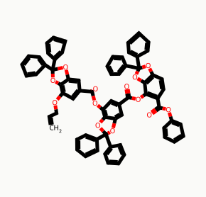 C=CCOc1cc(C(=O)Oc2cc(C(=O)Oc3c(C(=O)Oc4ccccc4)ccc4c3OC(c3ccccc3)(c3ccccc3)O4)cc3c2OC(c2ccccc2)(c2ccccc2)O3)cc2c1OC(c1ccccc1)(c1ccccc1)O2